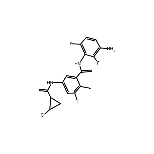 C=C(Nc1c(F)ccc(N)c1F)c1cc(NC(=C)C2CC2Cl)cc(F)c1C